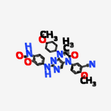 COc1ccc(N2C(=O)[C@@H](C)N([C@H]3CC[C@H](OC)CC3)c3nc(Nc4ccc5[nH]c(=O)oc5c4)ncc32)cc1C#N